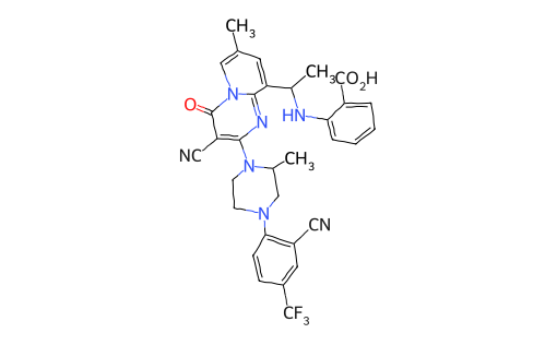 Cc1cc(C(C)Nc2ccccc2C(=O)O)c2nc(N3CCN(c4ccc(C(F)(F)F)cc4C#N)CC3C)c(C#N)c(=O)n2c1